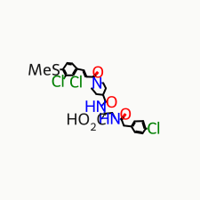 CSc1ccc(C=CC(=O)N2CCC(C(=O)N[C@@H](CNC(=O)Cc3ccc(Cl)cc3)C(=O)O)CC2)c(Cl)c1Cl